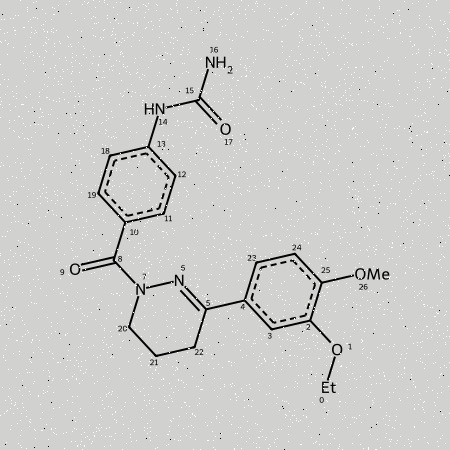 CCOc1cc(C2=NN(C(=O)c3ccc(NC(N)=O)cc3)CCC2)ccc1OC